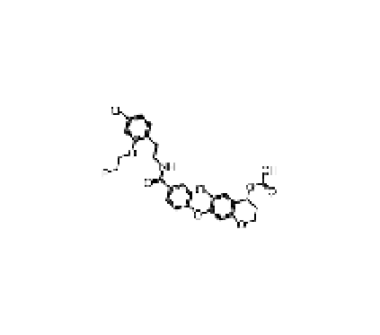 O=C(O)OC1CCOc2cc(Oc3ccc(C(=O)NCCc4ccc(Cl)cc4OCCF)cc3)c(Cl)cc21